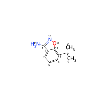 CC(C)c1cccc2c(N)noc12